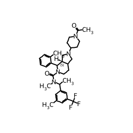 CC(=O)N1CCC(N2CC3CCN(C(=O)N(C)C(C)c4cc(C)cc(C(F)(F)F)c4)C(c4ccccc4C)[C@@H]3C2)CC1